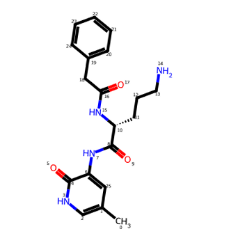 Cc1c[nH]c(=O)c(NC(=O)[C@@H](CCCN)NC(=O)Cc2ccccc2)c1